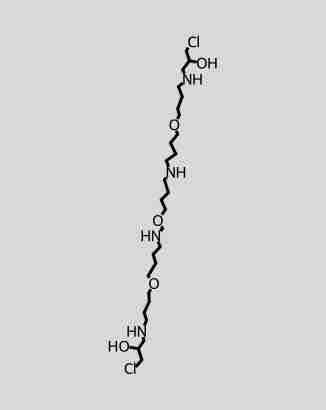 OC(CCl)CNCCCCOCCCCNCCCCOCNCCCCOCCCCNCC(O)CCl